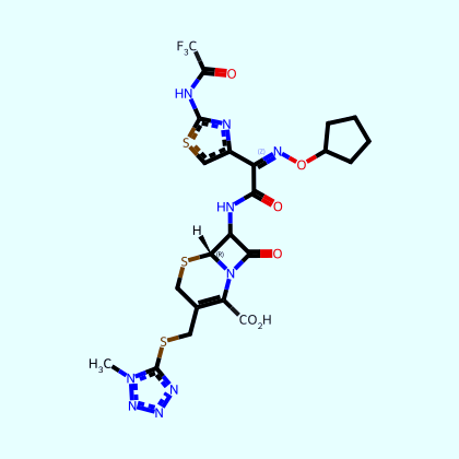 Cn1nnnc1SCC1=C(C(=O)O)N2C(=O)C(NC(=O)/C(=N\OC3CCCC3)c3csc(NC(=O)C(F)(F)F)n3)[C@H]2SC1